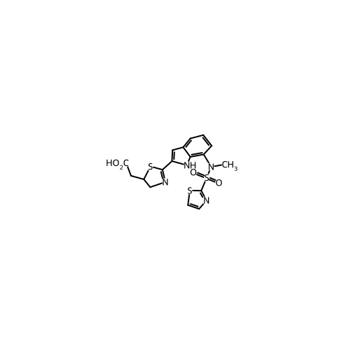 CN(c1cccc2cc(C3=NCC(CC(=O)O)S3)[nH]c12)S(=O)(=O)c1nccs1